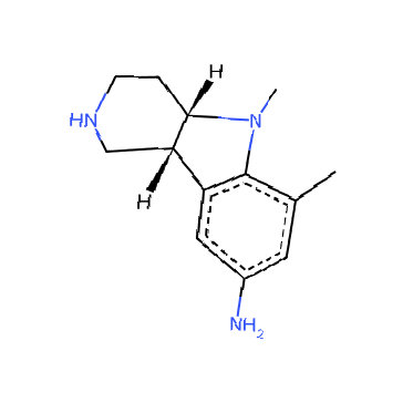 Cc1cc(N)cc2c1N(C)[C@H]1CCNC[C@@H]21